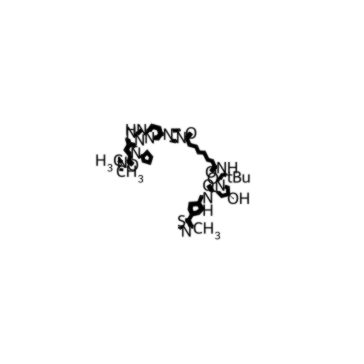 Cc1ncsc1-c1ccc(CNC(=O)[C@@H]2C[C@@H](O)CN2C(=O)C(NC(=O)CCCCCCC(=O)N2CCN(c3ccc(Nc4ncc5cc(C(=O)N(C)C)n(C6CCCC6)c5n4)nc3)CC2)C(C)(C)C)cc1